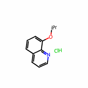 CC(C)Oc1cccc2cccnc12.Cl